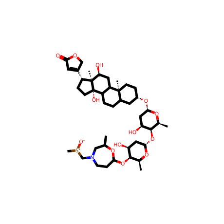 CC1CN(C[S+](C)[O-])CCC(O[C@@H]2[C@H](C)O[C@@H](O[C@@H]3[C@H](C)O[C@@H](O[C@H]4CC[C@@]5(C)C(CCC6C5C[C@H](O)[C@]5(C)[C@@H](C7=CC(=O)OC7)CC[C@]65O)C4)C[C@@H]3O)C[C@@H]2O)O1